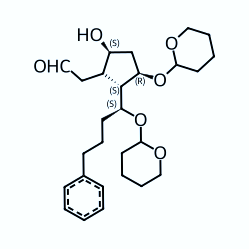 O=CCC1[C@@H]([C@H](CCCc2ccccc2)OC2CCCCO2)[C@H](OC2CCCCO2)C[C@@H]1O